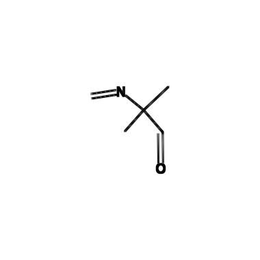 C=NC(C)(C)C=O